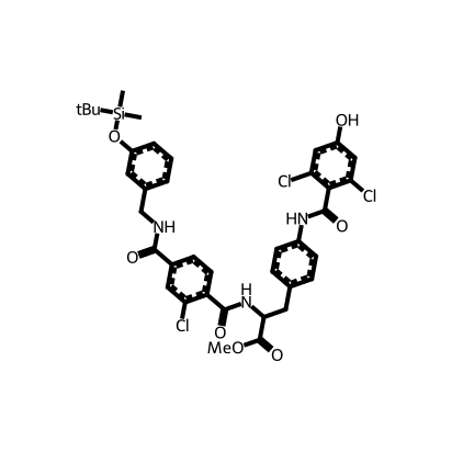 COC(=O)C(Cc1ccc(NC(=O)c2c(Cl)cc(O)cc2Cl)cc1)NC(=O)c1ccc(C(=O)NCc2cccc(O[Si](C)(C)C(C)(C)C)c2)cc1Cl